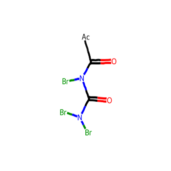 CC(=O)C(=O)N(Br)C(=O)N(Br)Br